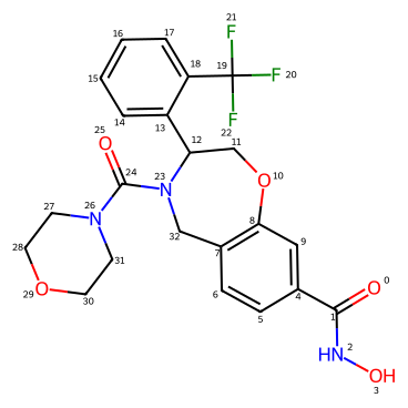 O=C(NO)c1ccc2c(c1)OCC(c1ccccc1C(F)(F)F)N(C(=O)N1CCOCC1)C2